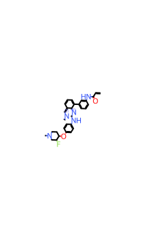 C=CC(=O)Nc1cccc(C2=CC=CC(=C/N=C)/C2=N\CNc2ccc(OC3CCN(C)CC3F)cc2)c1